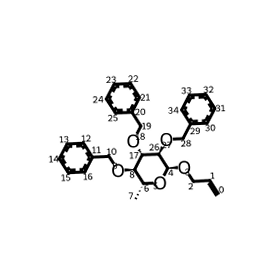 C=CCO[C@H]1O[C@H](C)[C@@H](OCc2ccccc2)[C@H](OCc2ccccc2)[C@H]1OCc1ccccc1